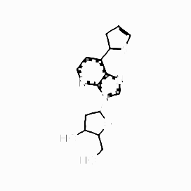 OCC1O[C@@H](n2cnc3c(C4CC=CS4)ccnc32)CC1O